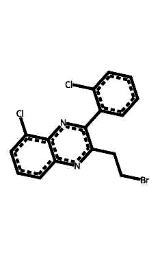 Clc1ccccc1-c1nc2c(Cl)cccc2nc1CCBr